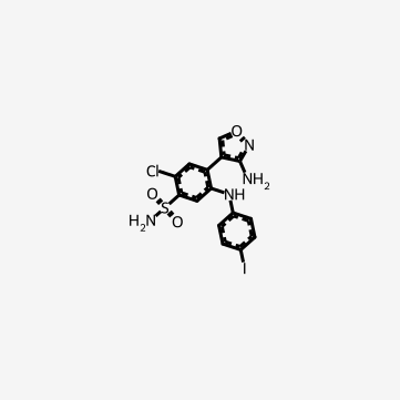 Nc1nocc1-c1cc(Cl)c(S(N)(=O)=O)cc1Nc1ccc(I)cc1